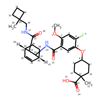 COc1cc(F)c(OC2CCC(C)(C(=O)O)CC2)cc1C(=O)NC1C(C(=O)NCC2(C)CCC2)[C@@H]2C=C[C@H]1CC2